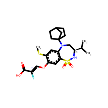 CSc1cc2c(cc1O/C=C(\F)C(=O)O)S(=O)(=O)N[C@H](C(C)C)CN2C12CCC(CC1)C2